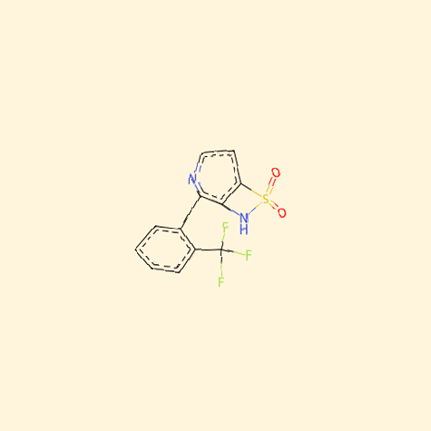 O=S1(=O)Nc2c1ccnc2-c1ccccc1C(F)(F)F